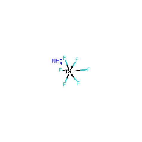 [F][Ta-]([F])([F])([F])([F])[F].[NH4+]